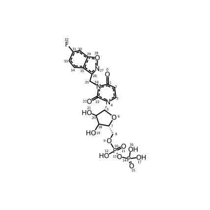 O=c1ccn([C@@H]2O[C@H](COP(=O)(O)OP(=O)(O)O)C(O)C2O)c(=O)n1Cc1noc2cc(F)ccc12